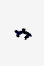 C[Si](C)(C)c1ccc(-n2c3ccccc3c3ccc(-c4ccc5c(c4)c4ccccc4n5-c4ccc(-c5nc(-c6ccccc6)cc(-c6ccccc6)n5)cc4)cc32)cc1